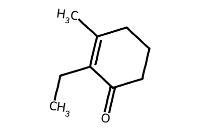 CCC1=C(C)CCCC1=O